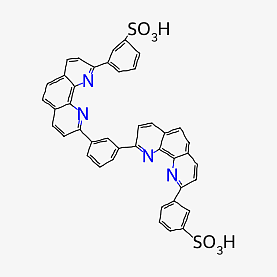 O=S(=O)(O)c1cccc(-c2ccc3ccc4ccc(-c5cccc(-c6ccc7ccc8ccc(-c9cccc(S(=O)(=O)O)c9)nc8c7n6)c5)nc4c3n2)c1